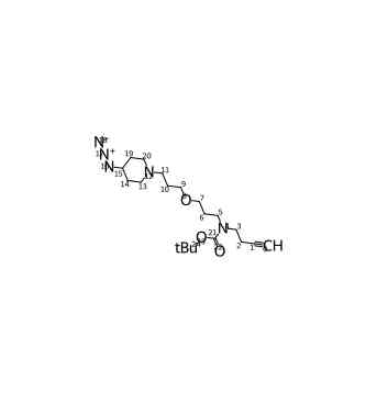 C#CCCN(CCCOCCCN1CCC(N=[N+]=[N-])CC1)C(=O)OC(C)(C)C